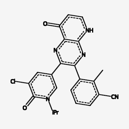 Cc1c(C#N)cccc1-c1nc2[nH]ccc(=O)c2nc1-c1cc(Cl)c(=O)n(C(C)C)c1